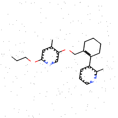 COCCOc1cc(C=O)c(OCC2=C(c3cccnc3OC)CCCC2)cn1